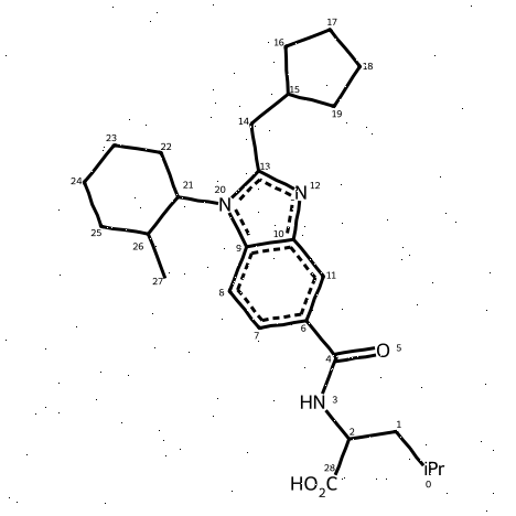 CC(C)CC(NC(=O)c1ccc2c(c1)nc(CC1CCCC1)n2C1CCCCC1C)C(=O)O